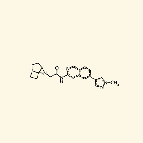 Cn1cc(-c2ccc3cnc(NC(=O)CN4C5CCC6CCC654)cc3c2)cn1